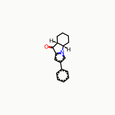 O=C1c2cc(-c3ccccc3)cn2[C@H]2CCCC[C@@H]12